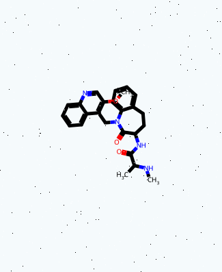 CNC(C)C(=O)NC1CCc2ccccc2N(Cc2c(OC)cnc3ccccc23)C1=O